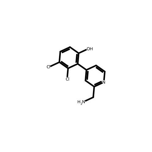 NCc1cc(-c2c(O)ccc(Cl)c2Cl)ccn1